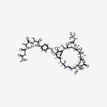 CNC(=O)CC(=O)NC(C)C(=O)NC(C)C(=O)Nc1ccc(COc2cc3cc(c2Cl)N(C)C(=O)C[C@H](OC(=O)C[N+](C)(C)C)[C@]2(C)O[C@H]2[C@H](C)[C@@H]2C[C@@](O)(NC(=O)O2)[C@H](OC)/C=C/C=C(\C)C3)cc1